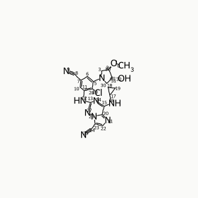 CO[C@@H]1CN(c2cc(C#N)cc(Nc3nc(NC4CC4)c4ncc(C#N)n4n3)c2Cl)C[C@H]1O